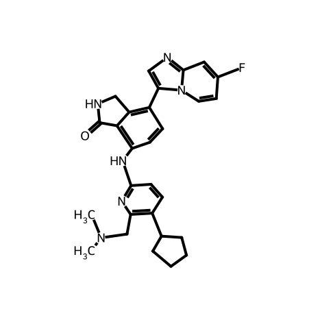 CN(C)Cc1nc(Nc2ccc(-c3cnc4cc(F)ccn34)c3c2C(=O)NC3)ccc1C1CCCC1